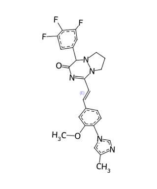 COc1cc(/C=C/C2=NC(=O)C(c3cc(F)c(F)c(F)c3)N3CCCN23)ccc1-n1cnc(C)c1